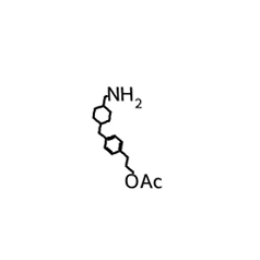 CC(=O)OCCCc1ccc(CC2CCC(CN)CC2)cc1